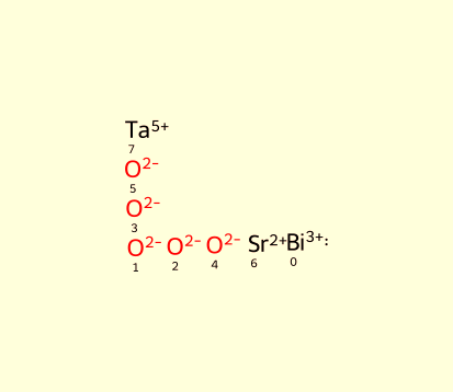 [Bi+3].[O-2].[O-2].[O-2].[O-2].[O-2].[Sr+2].[Ta+5]